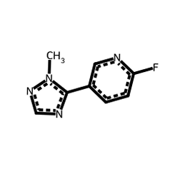 Cn1ncnc1-c1ccc(F)nc1